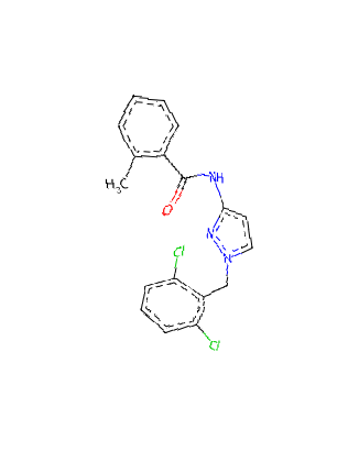 Cc1ccccc1C(=O)Nc1ccn(Cc2c(Cl)cccc2Cl)n1